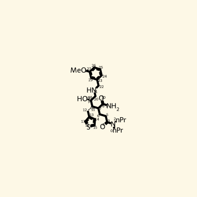 CCCN(CCC)C(=O)CCC(C(N)=O)[C@H](Cc1ccsc1)[C@@H](O)CNCc1cccc(OC)c1